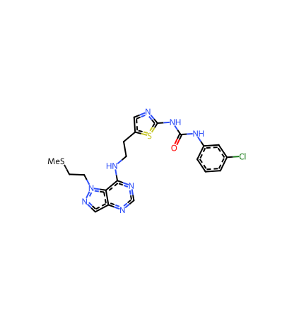 CSCCn1ncc2ncnc(NCCc3cnc(NC(=O)Nc4cccc(Cl)c4)s3)c21